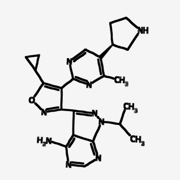 Cc1nc(-c2c(-c3nn(C(C)C)c4ncnc(N)c34)noc2C2CC2)ncc1[C@H]1CCNC1